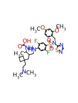 COc1ccc(CN(c2ncns2)S(=O)(=O)c2cc(F)c(NCC(CC3(CCN(C)C)CCC3)C(C)NC(=O)O)cc2F)c(OC)c1